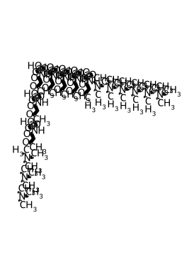 CC(=O)CC(=O)NS(=O)(=O)O.CC(=O)CC(=O)NS(=O)(=O)O.CC(=O)CC(=O)NS(=O)(=O)O.CC(=O)CC(=O)NS(=O)(=O)O.CC(=O)CC(=O)NS(=O)(=O)O.CC(=O)CC(=O)NS(=O)(=O)O.CC(=O)CC(=O)NS(=O)(=O)O.CCN(CC)CC.CCN(CC)CC.CCN(CC)CC.CCN(CC)CC.CCN(CC)CC.CCN(CC)CC.CCN(CC)CC.CCN(CC)CC.CCN(CC)CC